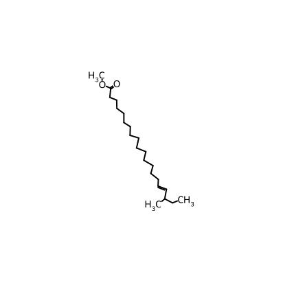 CCC(C)C=CCCCCCCCCCCCCCCC(=O)OC